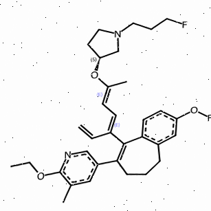 C=C/C(=C\C=C(/C)O[C@H]1CCN(CCCF)C1)C1=C(c2cnc(OCC)c(C)c2)CCCc2cc(OF)ccc21